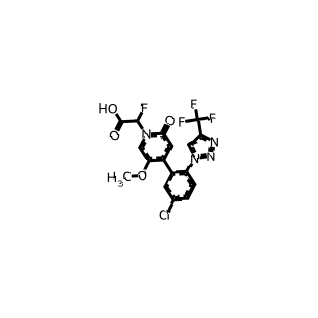 COc1cn(C(F)C(=O)O)c(=O)cc1-c1cc(Cl)ccc1-n1cc(C(F)(F)F)nn1